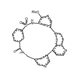 COc1ncc2cc1NS(=O)(=O)c1cccc(c1)C(=O)NCc1cncc(c1)-c1ccnc3ccc-2nc13